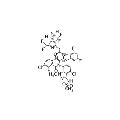 Cn1nc(NS(C)(=O)=O)c2c(Cl)ccc(-n3c([C@H](Cc4cc(F)cc(F)c4)NC(=O)Cn4nc(C(F)F)c5c4C(F)(F)[C@@H]4C[C@H]54)nc4ccc(Cl)c(F)c4c3=O)c21